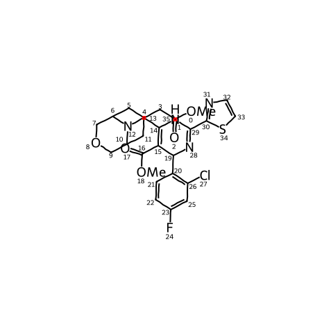 COC(=O)CC1CC2COCC(C1)N2CC1=C(C(=O)OC)C(c2ccc(F)cc2Cl)N=C(c2nccs2)N1